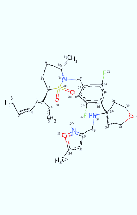 C=C/C(=C\C=C/C)[C@H]1CC[C@H](C)N(Cc2cc(F)c(C3(NCc4cc(C)on4)CCOCC3)cc2F)S1(=O)=O